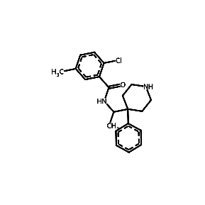 Cc1ccc(Cl)c(C(=O)NC(C)C2(c3ccccc3)CCNCC2)c1